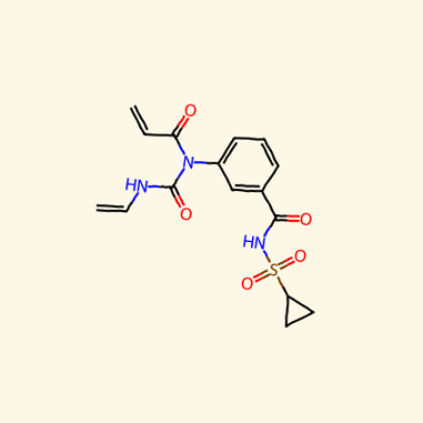 C=CNC(=O)N(C(=O)C=C)c1cccc(C(=O)NS(=O)(=O)C2CC2)c1